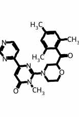 Cc1cc(C)c(C(=O)C2CN(c3nc(-c4ccncn4)cc(=O)n3C)CCO2)c(C)c1